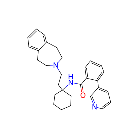 O=C(NC1(CCN2CCc3ccccc3CC2)CCCCC1)c1ccccc1-c1cccnc1